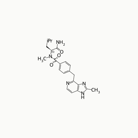 Cc1nc2c(Cc3ccc(S(=O)(=O)N(C)[C@@H](CC(C)C)C(N)=O)cc3)nccc2[nH]1